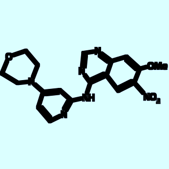 COc1cc2ncnc(Nc3cc(N4CCOCC4)ccn3)c2cc1[N+](=O)[O-]